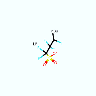 CCCCC(F)C(F)(F)C(F)(F)S(=O)(=O)[O-].[Li+]